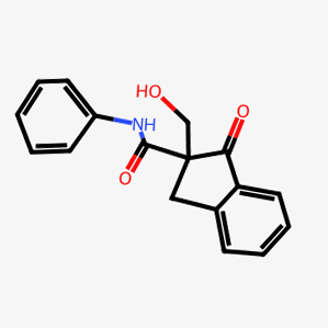 O=C(Nc1ccccc1)C1(CO)Cc2ccccc2C1=O